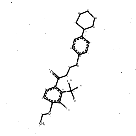 CCOc1ccc(C(=O)CCCc2ccc(C3CCCCC3)cc2)c(C(F)(F)F)c1F